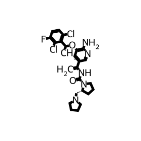 C=C(NC(=O)N1CCC[C@@H]1CN1CCCC1)c1cnc(N)c(OC(C)c2c(Cl)ccc(F)c2Cl)c1